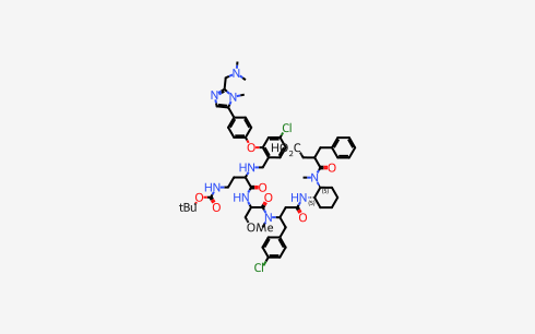 COCC(NC(=O)C(CCNC(=O)OC(C)(C)C)NCc1ccc(Cl)cc1Oc1ccc(-c2cnc(CN(C)C)n2C)cc1)C(=O)N(C)C(CC(=O)N[C@H]1CCCC[C@@H]1N(C)C(=O)C(CC(=O)O)Cc1ccccc1)Cc1ccc(Cl)cc1